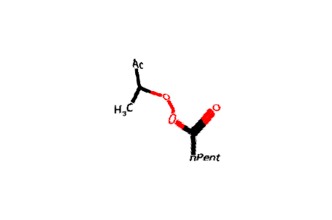 CCCCCC(=O)OOC(C)C(C)=O